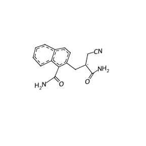 N#CC[C](Cc1ccc2ccccc2c1C(N)=O)C(N)=O